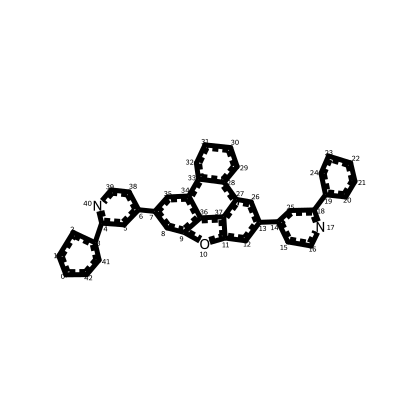 c1ccc(-c2cc(-c3cc4oc5cc(-c6ccnc(-c7ccccc7)c6)cc6c7ccccc7c(c3)c4c56)ccn2)cc1